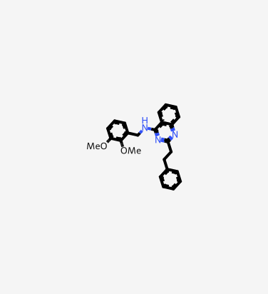 COc1cccc(CNc2nc(CCc3ccccc3)nc3ccccc23)c1OC